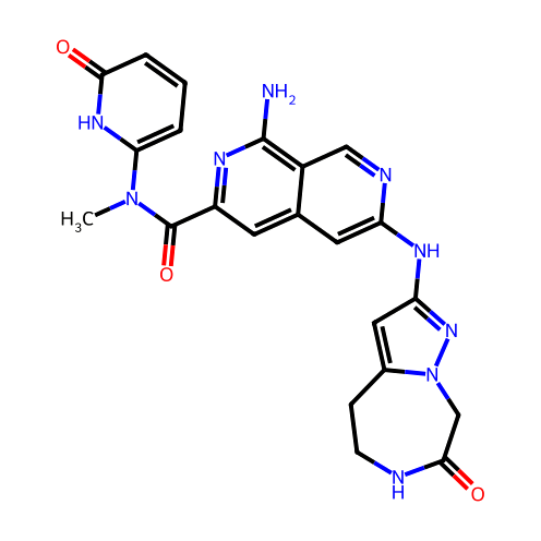 CN(C(=O)c1cc2cc(Nc3cc4n(n3)CC(=O)NCC4)ncc2c(N)n1)c1cccc(=O)[nH]1